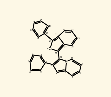 c1ccc(-c2cc3ccccn3c2-c2oc(-c3ccccc3)c3ccccc23)cc1